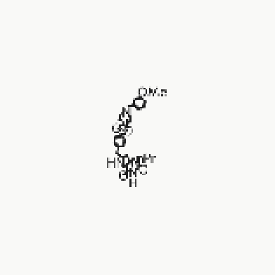 CCCn1c(=O)[nH]c(=O)c2[nH]c(Cc3ccc(S(=O)(=O)N4CCN(Cc5cccc(OC)c5)CC4)cc3)cc21